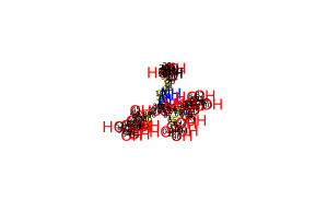 OCC1O[C@@H](SCCCOCC(CNC(=S)NCCSCC2O[C@@H]3OCCCCCC2[C@@H](O)C3O)(COCCCS[C@@H]2OC(CO)[C@@H](O[C@@H]3OC(CO)[C@H](O)C(O)[C@@H]3O)C(O)[C@@H]2O)COCCCS[C@@H]2OC(CO)[C@@H](O[C@@H]3OC(CO)[C@H](O)C(O)[C@@H]3O)C(O)[C@@H]2O)[C@@H](O)C(O)[C@@H]1O